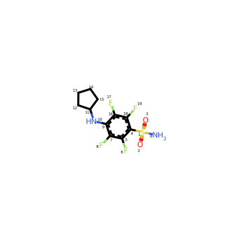 NS(=O)(=O)c1c(F)c(F)c(NC2CCCC2)c(F)c1F